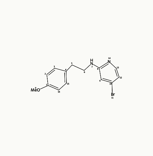 COc1ccc(CCNc2cc(Br)ccn2)cc1